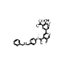 Cc1ncc(-c2cc(C(=O)Nc3ccc(COCc4ccccc4)cc3)c(F)cn2)cc1C(=O)O